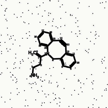 C=C(CCN)N1Cc2ccccc2C#Cc2ccccc21